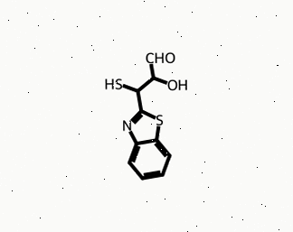 O=CC(O)C(S)c1nc2ccccc2s1